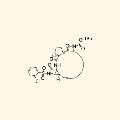 CC(C)(C)OC(=O)NC1CCCCCCC/C=C\[C@@H]2C[C@@]2(C(=O)NS(=O)(=O)c2ccccc2Cl)NC(=O)[C@@H]2CCCN2C1=O